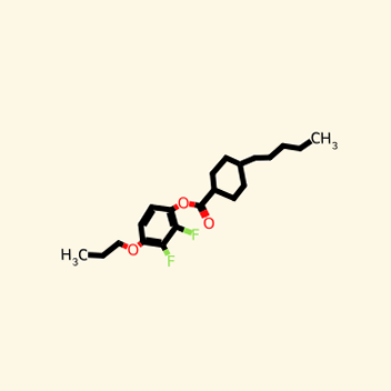 CCCCCC1CCC(C(=O)Oc2ccc(OCCC)c(F)c2F)CC1